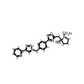 CC(C)(C)C1(Cc2nc(-c3ccc(Cn4cc(-c5ccccn5)nn4)cc3)no2)CCCN1C(=O)O